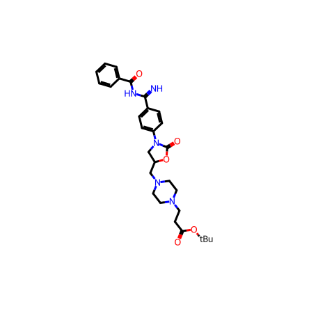 CC(C)(C)OC(=O)CCN1CCN(CC2CN(c3ccc(C(=N)NC(=O)c4ccccc4)cc3)C(=O)O2)CC1